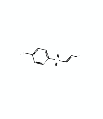 CC/C=C/S(=O)(=O)c1ccc(Br)cc1